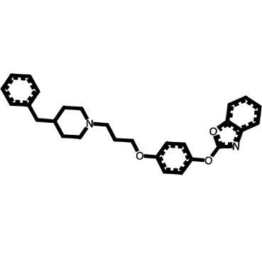 c1ccc(CC2CCN(CCCOc3ccc(Oc4nc5ccccc5o4)cc3)CC2)cc1